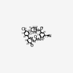 N#Cc1cc(NC(=O)Cn2nc(-c3ccc(Cl)cc3)ccc2=O)cc(C(=O)N2CC3CCC(C2)O3)c1